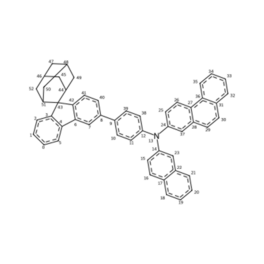 c1ccc2c(c1)-c1cc(-c3ccc(N(c4ccc5ccccc5c4)c4ccc5c(ccc6ccccc65)c4)cc3)ccc1C21C2CC3CC(C2)CC1C3